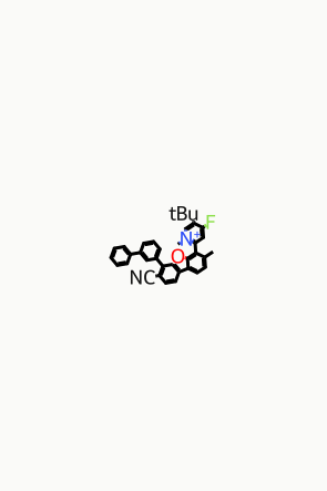 Cc1ccc2c(oc3c(-c4cccc(-c5ccccc5)c4)c(C#N)ccc32)c1-c1cc(F)c(C(C)(C)C)c[n+]1C